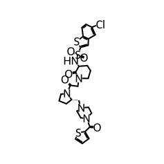 O=C(c1cccs1)N1CCN(C[C@@H]2CCCN2C(=O)CN2CCC[C@H](NS(=O)(=O)c3cc4cc(Cl)ccc4s3)C2=O)CC1